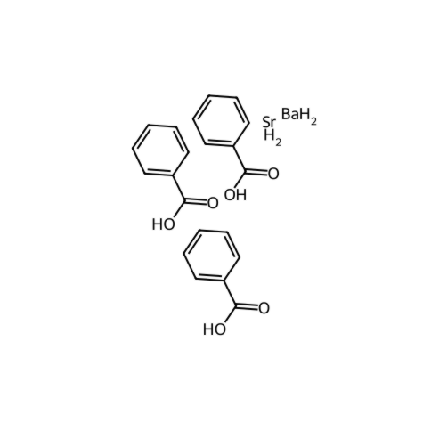 O=C(O)c1ccccc1.O=C(O)c1ccccc1.O=C(O)c1ccccc1.[BaH2].[SrH2]